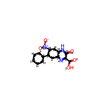 O=C(O)c1nc2cc(-c3ccccc3)c([N+](=O)[O-])cc2[nH]c1=O